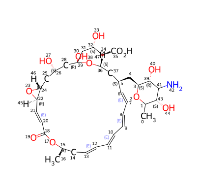 CC1O[C@@H](C[C@H]2/C=C/C=C/C=C/C=C/C[C@@H](C)OC(=O)/C=C/[C@H]3O[C@@H]3C[C@H](O)C[C@]3(O)C[C@H](O)[C@@H](C(=O)O)[C@H](C2)O3)[C@H](O)C(N)[C@@H]1O